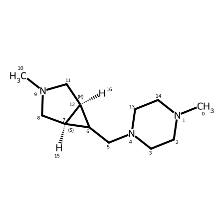 CN1CCN(CC2[C@H]3CN(C)C[C@@H]23)CC1